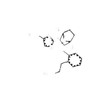 O=C(O)CCc1ccccc1C[C@@H]1[C@H](c2nc(C(=O)O)c[nH]2)[C@H]2CC[C@@H]1O2